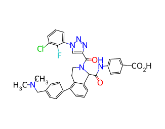 CN(C)Cc1ccc(-c2cccc3c2CCN(C(=O)c2cn(-c4cccc(Cl)c4F)nn2)C3C(=O)Nc2ccc(C(=O)O)cc2)cc1